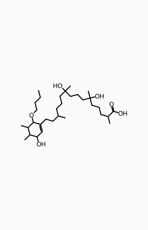 CCCCOC1C(CCC(C)CCCC(C)(O)CCCC(C)(O)CCCC(C)C(=O)O)=CC(O)C(C)C1C